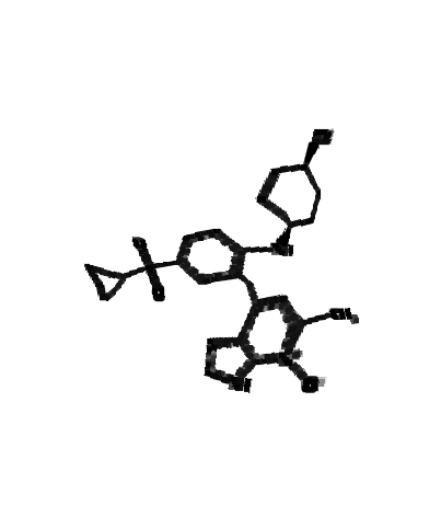 CC[C@H]1CC[C@@H](Nc2ccc(S(=O)(=O)C3CC3)cc2-c2cc(C)[n+]([O-])c3[nH]ccc23)CC1